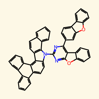 c1ccc2c(c1)ccc1c3c4c5ccccc5c5ccccc5c4ccc3n(-c3nc(-c4ccc5c(c4)oc4ccccc45)c4c(n3)oc3ccccc34)c21